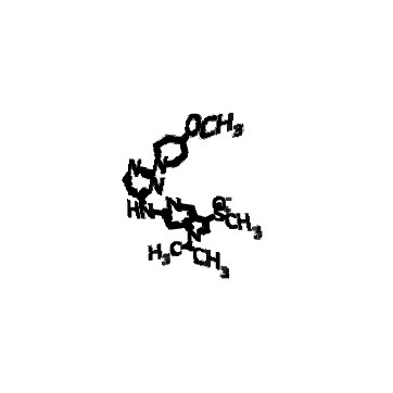 COC1CCN(c2nccc(Nc3cc4c(cn3)c([S+](C)[O-])cn4C(C)C)n2)CC1